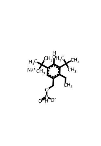 CCc1c(CO[PH](=O)[O-])cc(C(C)(C)C)c(O)c1C(C)(C)C.[Na+]